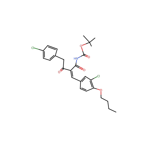 CCCCOc1ccc(C=C(C(=O)Cc2ccc(Cl)cc2)C(=O)NC(=O)OC(C)(C)C)cc1Cl